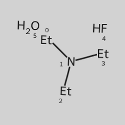 CCN(CC)CC.F.O